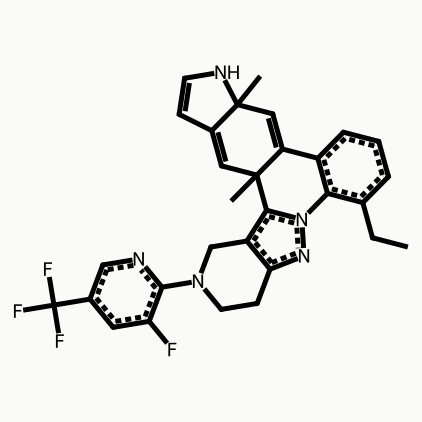 CCc1cccc2c1-n1nc3c(c1C1(C)C=C4C=CNC4(C)C=C21)CN(c1ncc(C(F)(F)F)cc1F)CC3